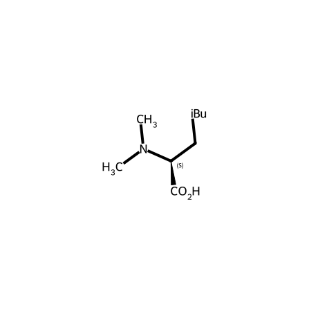 CCC(C)C[C@@H](C(=O)O)N(C)C